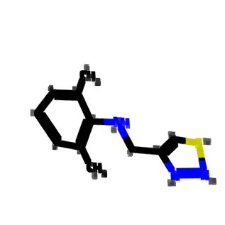 Cc1cccc(C)c1NCc1csnn1